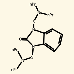 CCCN(CCC)Sn1c(=O)n(SN(CCC)CCC)c2ccccc21